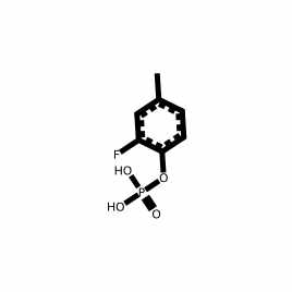 Cc1ccc(OP(=O)(O)O)c(F)c1